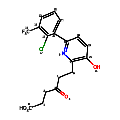 O=C(O)CCC(=O)CCc1nc(-c2cccc(C(F)(F)F)c2Cl)ccc1O